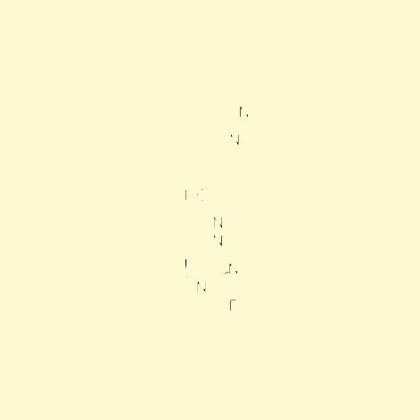 CN(c1ccc(-c2ccc(-n3ccnc3)cc2O)nn1)[C@@H]1C[C@@]2(C)CCCC([C@H]1F)N2C